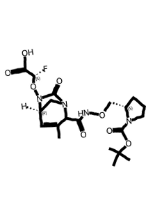 CC1=C[C@@H]2CN(C(=O)N2O[C@@H](F)C(=O)O)C1C(=O)NOC[C@@H]1CCCN1C(=O)OC(C)(C)C